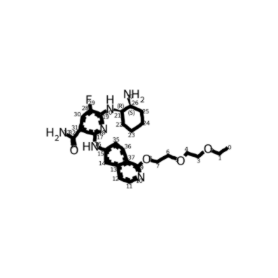 CCOCCOCCOc1nccc2cc(Nc3nc(N[C@@H]4CCCC[C@@H]4N)c(F)cc3C(N)=O)ccc12